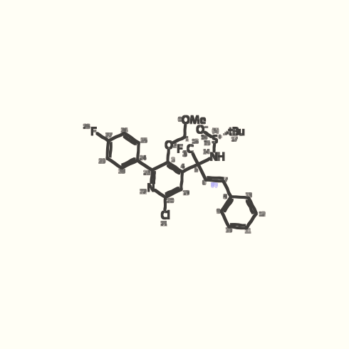 COCOc1c(C(/C=C/c2ccccc2)(N[S@+]([O-])C(C)(C)C)C(F)(F)F)cc(Cl)nc1-c1ccc(F)cc1